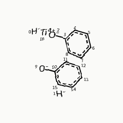 [H-].[H-].[O-]c1ccccc1.[O-]c1ccccc1.[Ti+4]